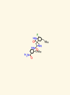 COc1cc(C(N)=O)ccc1NC(=O)C1CC2(CN1)C(=O)Nc1c(F)cc(CC(C)(C)C)cc12